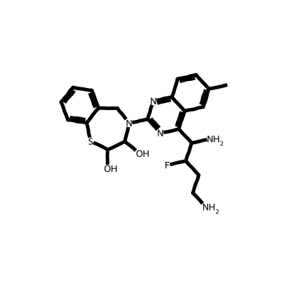 Cc1ccc2nc(N3Cc4ccccc4SC(O)C3O)nc(C(N)C(F)CCN)c2c1